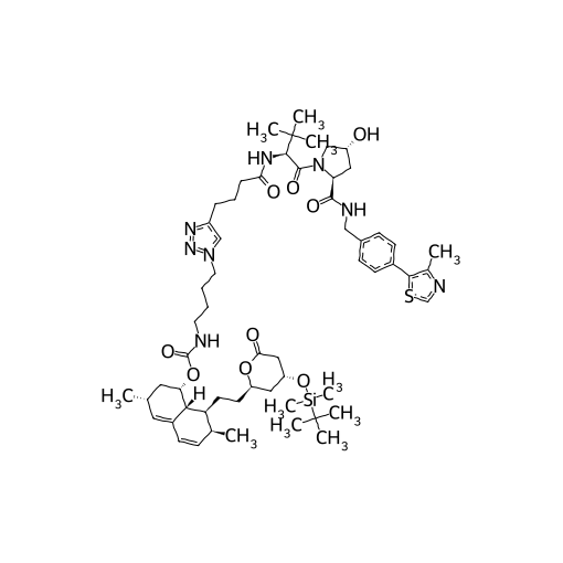 Cc1ncsc1-c1ccc(CNC(=O)[C@@H]2C[C@@H](O)CN2C(=O)[C@@H](NC(=O)CCCc2cn(CCCCNC(=O)O[C@H]3C[C@@H](C)C=C4C=C[C@H](C)[C@H](CC[C@@H]5C[C@@H](O[Si](C)(C)C(C)(C)C)CC(=O)O5)[C@H]43)nn2)C(C)(C)C)cc1